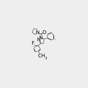 Cc1ccc(F)c(C2=NN(C(=O)N3CCCC3)C(c3c[c]ccc3)C2)c1